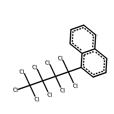 ClC(Cl)(Cl)C(Cl)(Cl)C(Cl)(Cl)C(Cl)(Cl)c1cccc2[c]cccc12